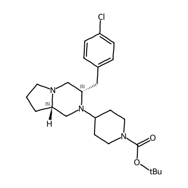 CC(C)(C)OC(=O)N1CCC(N2C[C@@H]3CCCN3C[C@@H]2Cc2ccc(Cl)cc2)CC1